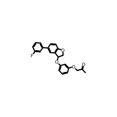 CC(=O)COc1cccc(OC2COc3ccc(-c4cccc(F)c4)cc32)c1